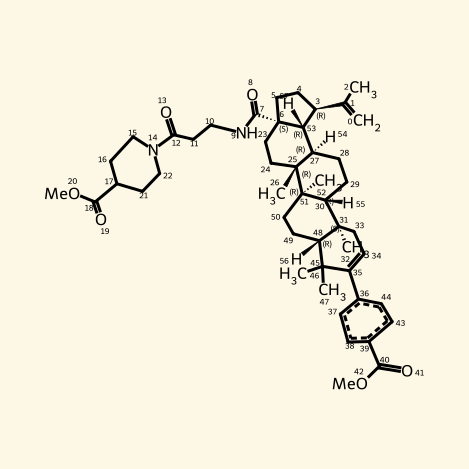 C=C(C)[C@@H]1CC[C@]2(C(=O)NCCC(=O)N3CCC(C(=O)OC)CC3)CC[C@]3(C)[C@H](CC[C@@H]4[C@@]5(C)CC=C(c6ccc(C(=O)OC)cc6)C(C)(C)[C@@H]5CC[C@]43C)[C@@H]12